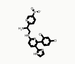 NC(CNc1ccc(-c2ncc[nH]2)c(-c2ccc(Cl)cc2Cl)n1)c1ccc([N+](=O)[O-])cn1